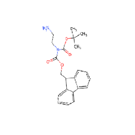 CC(C)(C)OC(=O)N(CCN)C(=O)OCC1c2ccccc2-c2ccccc21